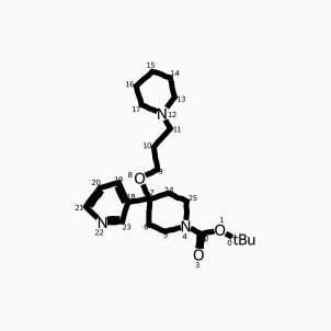 CC(C)(C)OC(=O)N1CCC(OCCCN2CCCCC2)(c2cccnc2)CC1